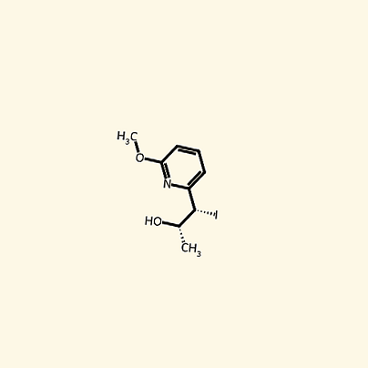 COc1cccc([C@H](I)[C@H](C)O)n1